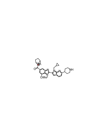 COc1cc(C(=O)N2CC3CCC2[C@@H]3C)cc2nc(-c3cc4ccc(C5CCNCC5)nc4n3CC3CC3)n(C)c12